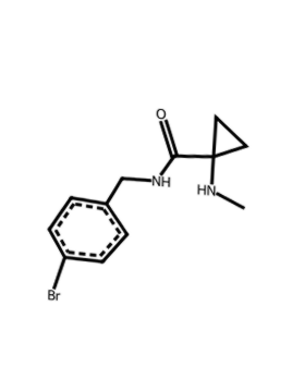 CNC1(C(=O)NCc2ccc(Br)cc2)CC1